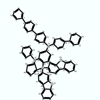 c1ccc(-c2ccc(-c3ccc(N(c4ccc(-c5ccccc5)cc4)c4ccc5c(c4)N(c4ccccc4)c4ccccc4[Si]5(c4ccc5c(c4)oc4ccccc45)c4ccc5c(c4)oc4ccccc45)cc3)cc2)cc1